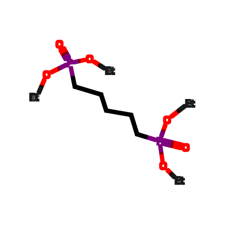 CCOP(=O)(CCCCCP(=O)(OCC)OCC)OCC